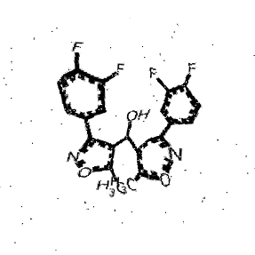 Cc1onc(-c2ccc(F)c(F)c2)c1C(O)c1c(-c2ccc(F)c(F)c2)noc1C